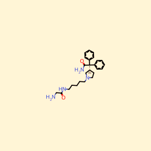 NCC(=O)NCCCCCN1CC[C@@H](C(C(N)=O)(c2ccccc2)c2ccccc2)C1